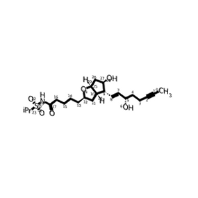 CC#CCC[C@H](O)/C=C/[C@@H]1[C@H]2C[C@@H](CCCCC(=O)NS(=O)(=O)C(C)C)O[C@H]2C[C@H]1O